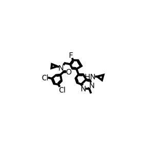 Cc1nc(NC2CC2)c2cc(-c3ccc(F)c(CN(C(=O)c4cc(Cl)cc(Cl)c4)C4CC4)c3)ccc2n1